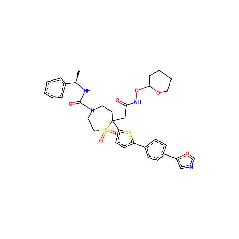 C[C@@H](NC(=O)N1CCC(CC(=O)NOC2CCCCO2)(c2ccc(-c3ccc(-c4cnco4)cc3)s2)S(=O)(=O)CC1)c1ccccc1